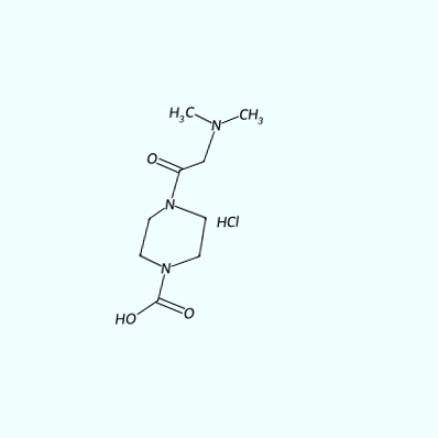 CN(C)CC(=O)N1CCN(C(=O)O)CC1.Cl